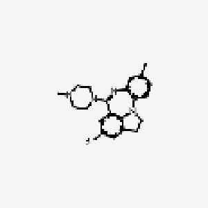 Cc1ccc2c(c1)N=C(N1CCN(C)CC1)c1cc(Br)cc3c1N2CC3